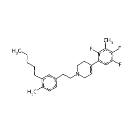 CCCCCc1cc(CCN2CC=C(c3cc(F)c(F)c(C)c3F)CC2)ccc1C